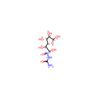 NC(=O)N[N+](=O)C(O)[C@@H](O)[C@H]1OC(O)[C@H](O)[C@H]1O